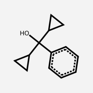 OC(c1ccccc1)(C1CC1)C1CC1